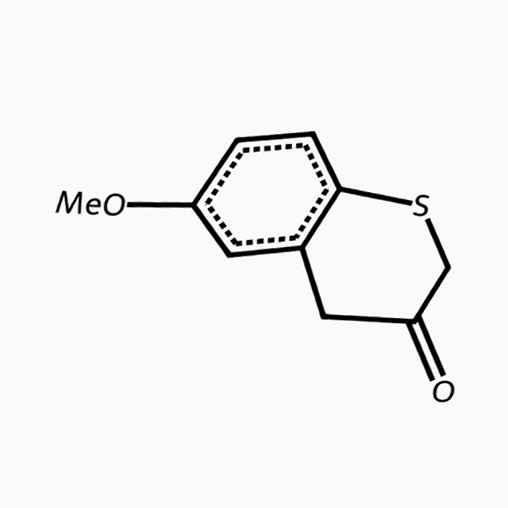 COc1ccc2c(c1)CC(=O)CS2